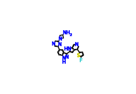 NC1CN(c2cncc(-c3ccc4[nH]nc(-c5cc6c(-c7ccc(F)s7)cncc6[nH]5)c4c3)n2)C1